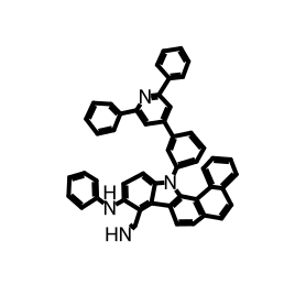 N=Cc1c(Nc2ccccc2)ccc2c1c1ccc3ccc4ccccc4c3c1n2-c1cccc(-c2cc(-c3ccccc3)nc(-c3ccccc3)c2)c1